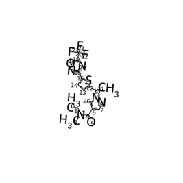 CCN(C)C(=O)c1cnn(C(C)c2ccc(-c3noc(C(F)(F)F)n3)s2)c1